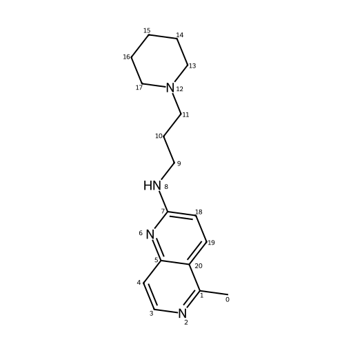 Cc1nccc2nc(NCCCN3CCCCC3)ccc12